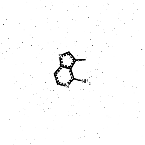 Cc1csc2ccnc(N)c12